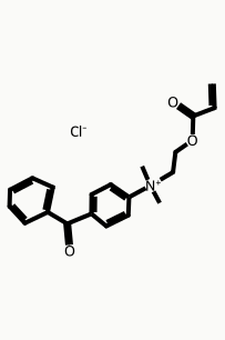 C=CC(=O)OCC[N+](C)(C)c1ccc(C(=O)c2ccccc2)cc1.[Cl-]